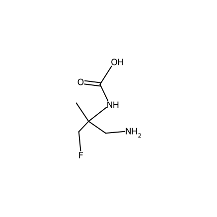 CC(CN)(CF)NC(=O)O